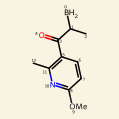 BC(C)C(=O)c1ccc(OC)nc1C